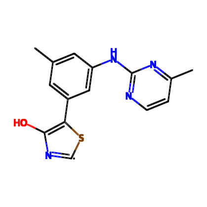 Cc1cc(Nc2nccc(C)n2)cc(-c2s[c]nc2O)c1